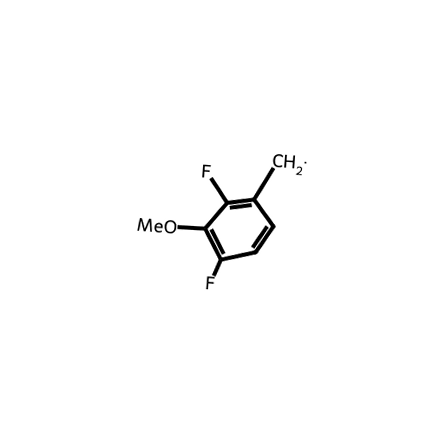 [CH2]c1ccc(F)c(OC)c1F